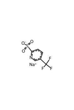 O=S(=O)([O-])c1ccc(C(F)(F)F)cn1.[Na+]